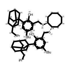 CC(C)CC12CC3CC(C1)CC(c1cc(C(C)(C)C)cc(CS[C@H]4CCCCCC[C@@H]4SCc4cc(C(C)(C)C)cc(C56CC7CC(CC(CC(C)C)(C7)C5)C6)c4O)c1O)(C3)C2